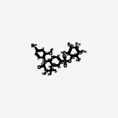 COc1cc(Br)ccc1N(C(=O)N(C)C(C)(C)C)c1ccc(S(=O)(=O)Oc2c(F)c(F)c(F)c(F)c2F)cn1